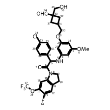 COc1cc(NC(C(=O)N2CCc3cc(F)c(OC(F)(F)F)cc32)c2ccc(Cl)cc2)cc(OCC2CC(C=O)(CO)C2)c1